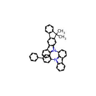 CC1(C)c2ccccc2-c2cc3c4ccccc4n(-c4cccc5c6ccccc6n(-c6ccc(-c7ccccc7)cc6)c45)c3cc21